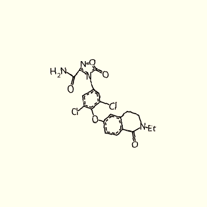 CCN1CCc2cc(Oc3c(Cl)cc(-n4c(C(N)=O)noc4=O)cc3Cl)ccc2C1=O